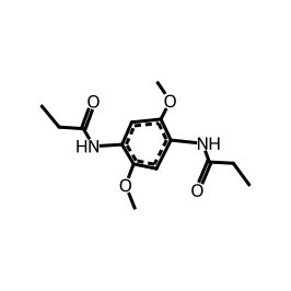 CCC(=O)Nc1cc(OC)c(NC(=O)CC)cc1OC